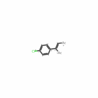 CC(=O)C=C(C(C)=O)c1ccc(Cl)cc1